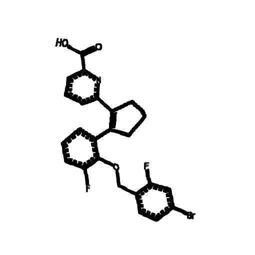 O=C(O)c1cccc(C2=C(c3cccc(F)c3OCc3ccc(Br)cc3F)CCC2)n1